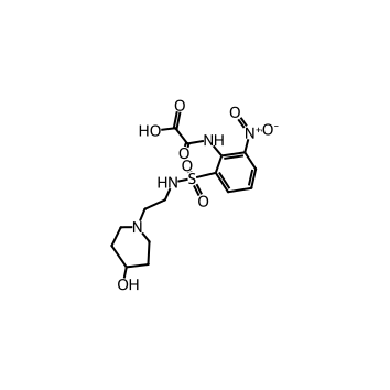 O=C(O)C(=O)Nc1c([N+](=O)[O-])cccc1S(=O)(=O)NCCN1CCC(O)CC1